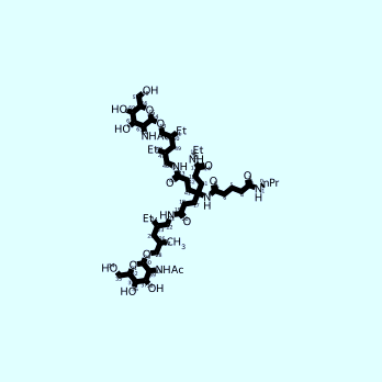 CCCNC(=O)CCCC(=O)NC(CCC(=O)NCC)(CCC(=O)NCC(CC)CC(C)COC1OC(CO)C(O)C(O)C1NC(C)=O)CCC(=O)NCC(CC)CC(CC)COC1OC(CO)C(O)C(O)C1NC(C)=O